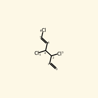 C=CC(Cl)C(Cl)C=CCl